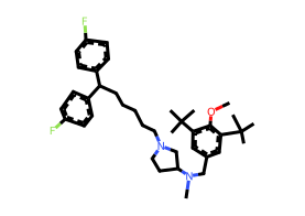 COc1c(C(C)(C)C)cc(CN(C)C2CCN(CCCCCC(c3ccc(F)cc3)c3ccc(F)cc3)C2)cc1C(C)(C)C